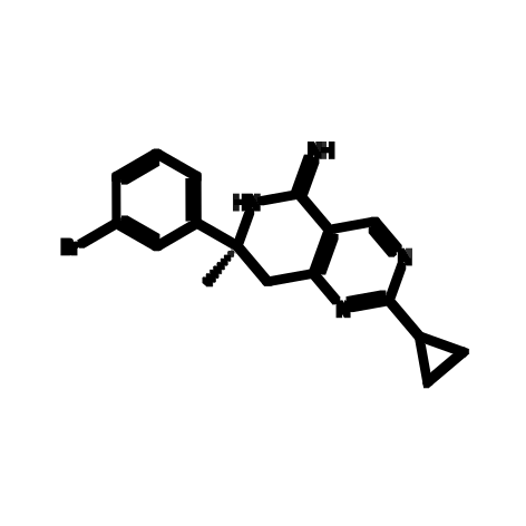 C[C@@]1(c2cccc(Br)c2)Cc2nc(C3CC3)ncc2C(=N)N1